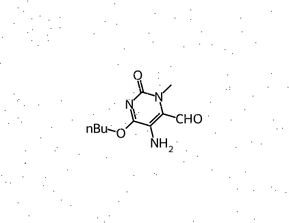 CCCCOc1nc(=O)n(C)c(C=O)c1N